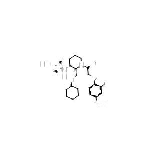 Cc1cc(O)ccc1OCC(=O)N1CCC[C@H](NS(C)(=O)=O)[C@@H]1COC1CCCCC1